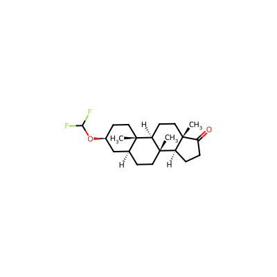 C[C@]12CC[C@H](OC(F)F)C[C@@H]1CC[C@]1(C)[C@@H]2CC[C@]2(C)C(=O)CC[C@@H]12